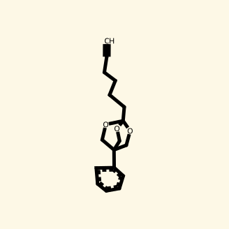 C#CCCCCC12OCC(c3ccccc3)(CO1)CO2